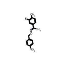 C/C(=N\OCc1ccc([N+](=O)[O-])cc1)c1ccc(C)c(F)c1